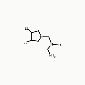 CCC1CN(CN(CC)CN)CC1CC